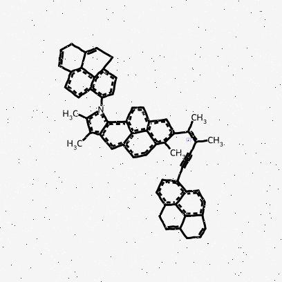 C/C(C#Cc1ccc2c3c4c(ccc13)C=CCC4=CC2)=C(\C)c1cc2ccc3c4c(ccc(c1C)c24)cc1c(C)c(C)n(-c2ccc4c5c6c(ccc25)C=CCC6=CC4)c13